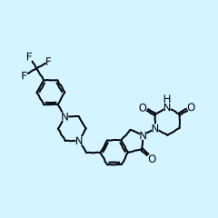 O=C1CCN(N2Cc3cc(CN4CCN(c5ccc(C(F)(F)F)cc5)CC4)ccc3C2=O)C(=O)N1